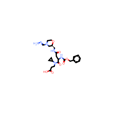 NN=CN1CCO[C@@H](CNC(=O)CC(NC(=O)OCc2ccccc2)C(=O)N(CCC(=O)O)C2CC2)C1